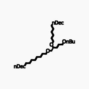 CCCCCCCCCCCCCCCCCCOC[C@H](CCCOCCCC)OCCCCCCCCCCCCCCCC